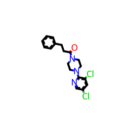 O=C(CCc1ccccc1)N1CCN(c2ncc(Cl)cc2Cl)CC1